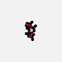 C1=CC2C(C=C1c1cccc(-c3nc(-c4ccccc4)nc(-c4cc(-c5nc(-c6ccccc6)nc(-c6ccccc6)n5)cc(-n5c6ccccc6c6ccc7c8ccccc8n(-c8ccccc8)c7c65)c4)n3)c1)c1ccc3c4ccccc4n(-c4cccc(-c5nc(-c6ccccc6)nc(-c6ccccc6)n5)c4)c3c1N2c1ccccc1